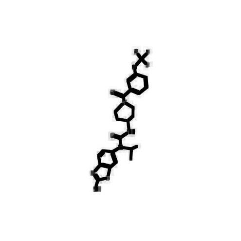 CC(C)N(C(=O)NC1CCN(C(=O)c2cccc(OC(F)(F)F)c2)CC1)c1ccc2nc(S)sc2c1